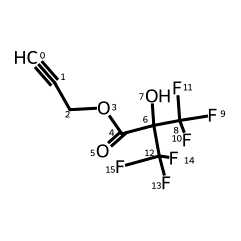 C#CCOC(=O)C(O)(C(F)(F)F)C(F)(F)F